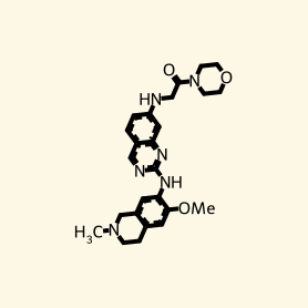 COc1cc2c(cc1Nc1ncc3ccc(NCC(=O)N4CCOCC4)cc3n1)CN(C)CC2